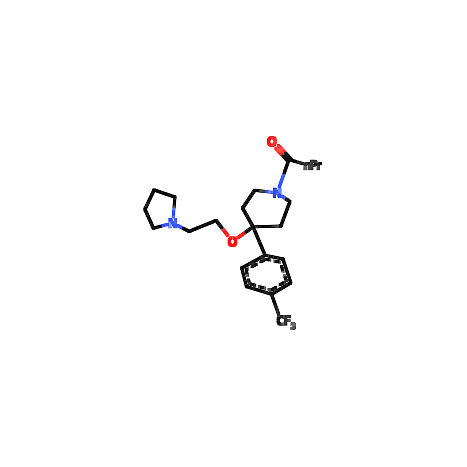 CCCC(=O)N1CCC(OCCN2CCCC2)(c2ccc(C(F)(F)F)cc2)CC1